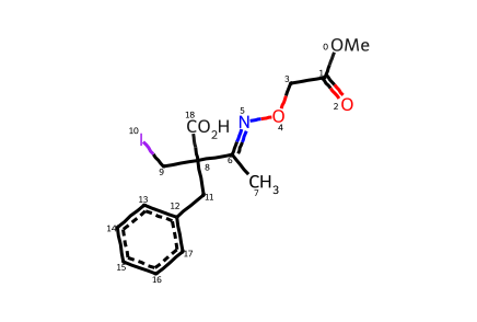 COC(=O)CO/N=C(\C)C(CI)(Cc1ccccc1)C(=O)O